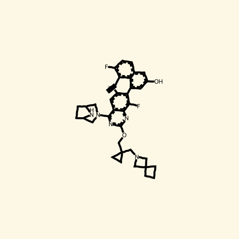 C#Cc1c(F)ccc2cc(O)cc(-c3c(C(C)C)cc4c(N5CC6CCC(C5)N6)nc(OCC5(CN6CC7(CCC7)C6)CC5)nc4c3F)c12